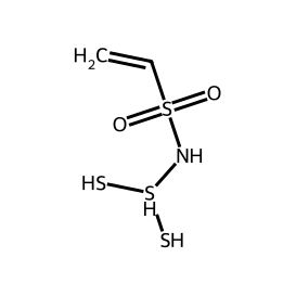 C=CS(=O)(=O)N[SH](S)S